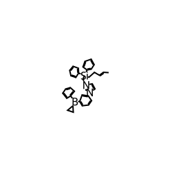 CC=CCC[Si](Cn1ccnc1)(c1ccccc1)c1ccccc1.c1ccc(B(c2ccccc2)C2CC2)cc1